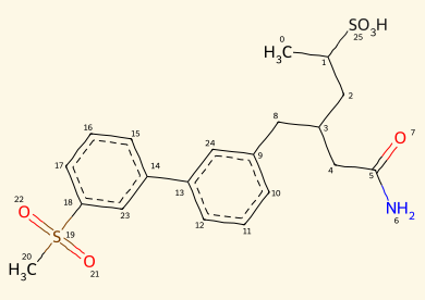 CC(CC(CC(N)=O)Cc1cccc(-c2cccc(S(C)(=O)=O)c2)c1)S(=O)(=O)O